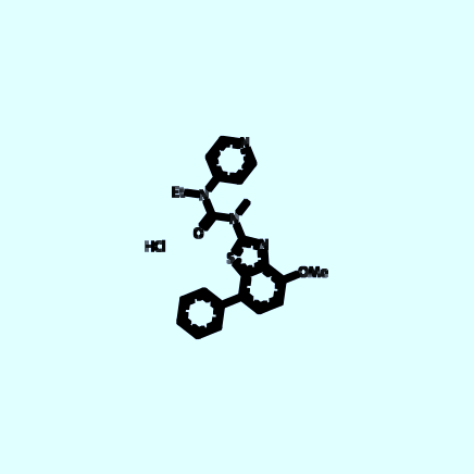 CCN(C(=O)N(C)c1nc2c(OC)ccc(-c3ccccc3)c2s1)c1ccncc1.Cl